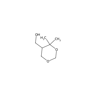 CC1(C)OCOCC1CO